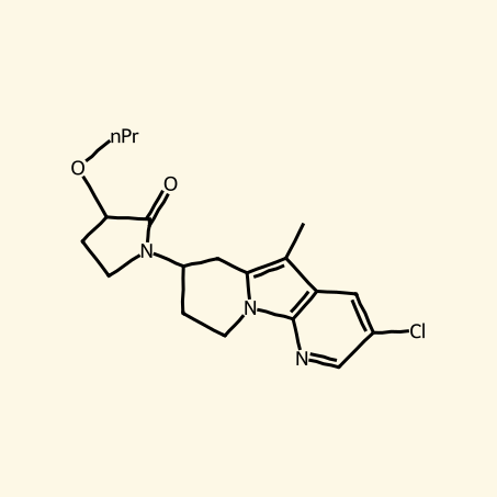 CCCOC1CCN(C2CCn3c(c(C)c4cc(Cl)cnc43)C2)C1=O